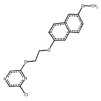 COc1ccc2cc(OCCOc3cncc(Cl)n3)ccc2c1